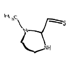 CN1CCNC1C=S